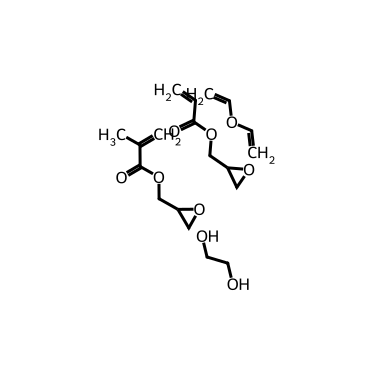 C=C(C)C(=O)OCC1CO1.C=CC(=O)OCC1CO1.C=COC=C.OCCO